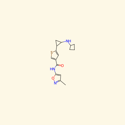 Cc1cc(NC(=O)c2csc(C3CC3NC3CCC3)c2)on1